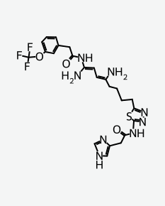 N/C(=C\C=C(/N)NC(=O)Cc1cccc(OC(F)(F)F)c1)CCCCc1nnc(NC(=O)Cc2c[nH]cn2)s1